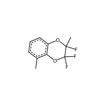 Cc1cccc2c1OC(F)(F)C(C)(F)O2